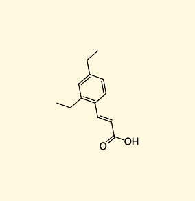 CCc1ccc(/C=C/C(=O)O)c(CC)c1